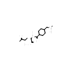 CNCC1CCC(C(=O)N[C@@H](CCC(C)=O)C(=O)O)CC1